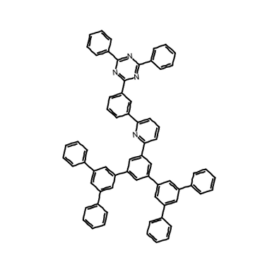 c1ccc(-c2cc(-c3ccccc3)cc(-c3cc(-c4cc(-c5ccccc5)cc(-c5ccccc5)c4)cc(-c4cccc(-c5cccc(-c6nc(-c7ccccc7)nc(-c7ccccc7)n6)c5)n4)c3)c2)cc1